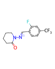 O=C1CCCCN1/N=C/c1ccc(C(F)(F)F)cc1F